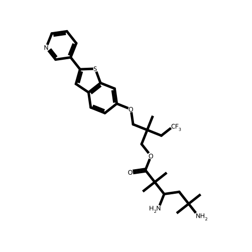 CC(C)(N)CC(N)C(C)(C)C(=O)OCC(C)(COc1ccc2cc(-c3cccnc3)sc2c1)CC(F)(F)F